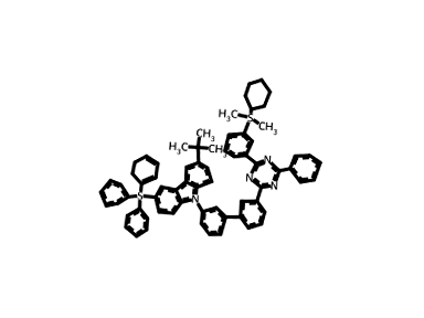 CC(C)(C)c1ccc2c(c1)c1cc(S(C3=CC=CCC3)(c3ccccc3)c3ccccc3)ccc1n2-c1cccc(-c2cccc(-c3nc(-c4ccccc4)nc(-c4cccc(S(C)(C)C5CCCCC5)c4)n3)c2)c1